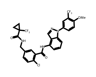 COc1ccc(-n2ncc3c(NC(=O)c4cc(CNC(=O)C5(C(F)(F)F)CC5)ccc4Cl)cccc32)cc1C(F)(F)F